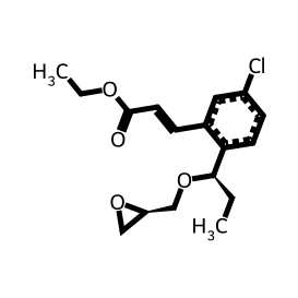 CCOC(=O)/C=C/c1cc(Cl)ccc1[C@@H](CC)OC[C@H]1CO1